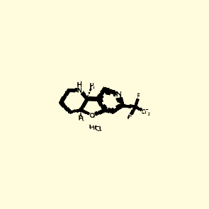 Cl.FC(F)(F)C(F)(F)c1cc2c(cn1)[C@@H]1NCCC[C@@H]1O2